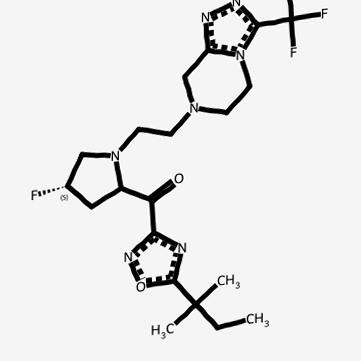 CCC(C)(C)c1nc(C(=O)C2C[C@H](F)CN2CCN2CCn3c(nnc3C(F)(F)F)C2)no1